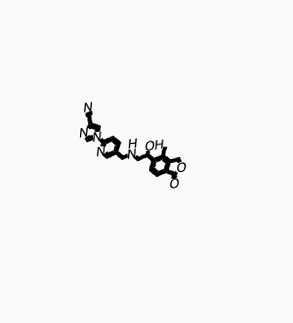 Cc1c(C(O)CNCc2ccc(-n3cnc(C#N)c3)nc2)ccc2c1COC2=O